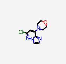 Clc1cc(N2CCOCC2)c2nccn2n1